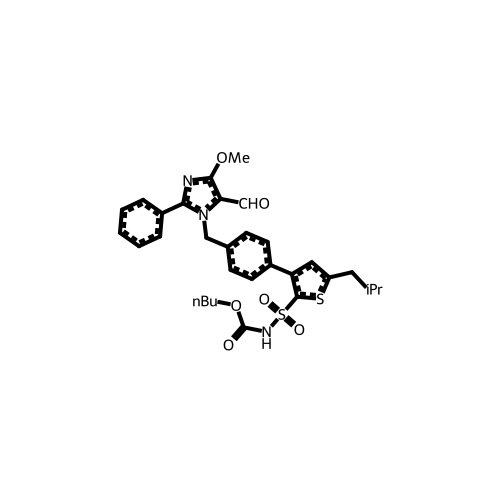 CCCCOC(=O)NS(=O)(=O)c1sc(CC(C)C)cc1-c1ccc(Cn2c(-c3ccccc3)nc(OC)c2C=O)cc1